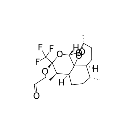 C[C@@H]1CC[C@H]2[C@@H](C)[C@](OCC=O)(C(F)(F)F)O[C@@H]3O[C@]4(C)CC[C@@H]1C32OO4